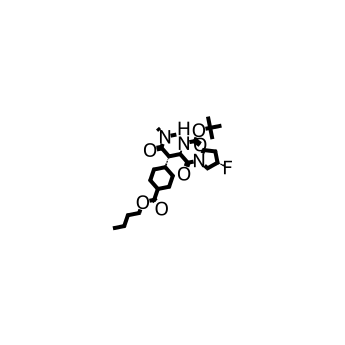 CCCCOC(=O)C1CCC([C@H](C(=O)N(C)C)[C@H](NC(=O)OC(C)(C)C)C(=O)N2CC[C@H](F)C2)CC1